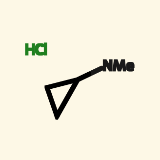 CNC1CC1.Cl